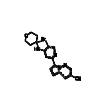 CC1(Nc2cc(-c3ccc4cc(C#N)cnn34)ncc2Br)CCOCC1